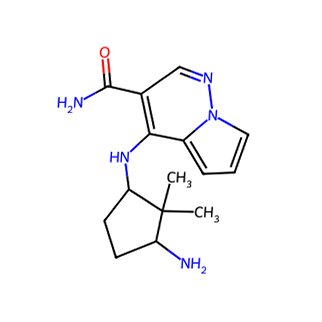 CC1(C)C(N)CCC1Nc1c(C(N)=O)cnn2cccc12